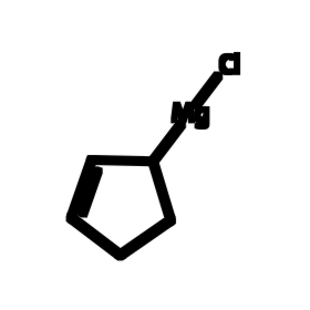 [Cl][Mg][CH]1C=CCC1